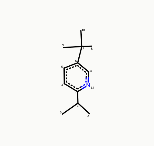 CC(C)c1ccc(C(C)(C)C)cn1